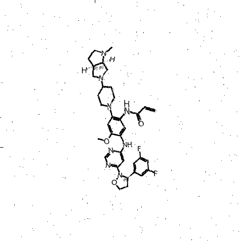 C=CC(=O)Nc1cc(Nc2cc(N3OCC[C@@H]3c3cc(F)cc(F)c3)ncn2)c(OC)cc1N1CCC(N2C[C@H]3CCN(C)[C@H]3C2)CC1